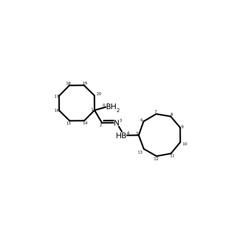 BC1(/C=N/BC2CCCCCCCC2)CCCCCCC1